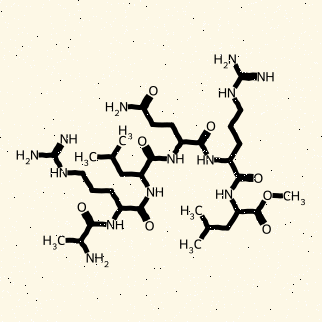 COC(=O)C(CC(C)C)NC(=O)C(CCCNC(=N)N)NC(=O)C(CCC(N)=O)NC(=O)C(CC(C)C)NC(=O)C(CCCNC(=N)N)NC(=O)C(C)N